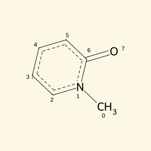 Cn1c[c]ccc1=O